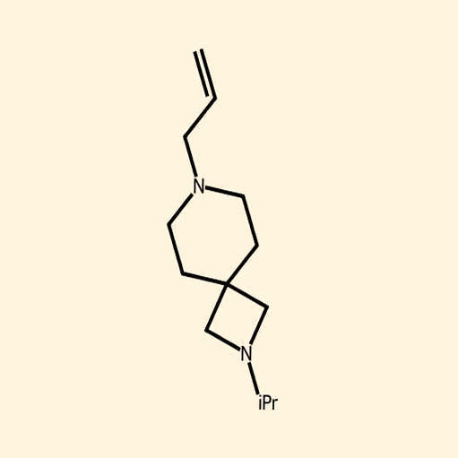 C=CCN1CCC2(CC1)CN(C(C)C)C2